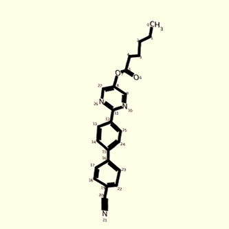 CCCCCC(=O)Oc1cnc(-c2ccc(-c3ccc(C#N)cc3)cc2)nc1